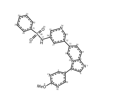 COc1ncc(-c2cnc3ccc(-c4cncc(NS(=O)(=O)c5ccccc5)c4)cn23)cn1